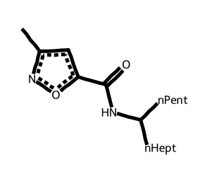 CCCCCCCC(CCCCC)NC(=O)c1cc(C)no1